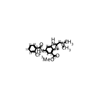 COC(=O)c1cc(NC(=O)c2ccccc2C(F)(F)F)cc2[nH]c(CN(C)C)nc12